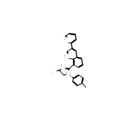 Cc1ccc(N2CC(C(C)(C)C)N=C2c2cccc3cc(-c4ccccn4)cnc23)cc1